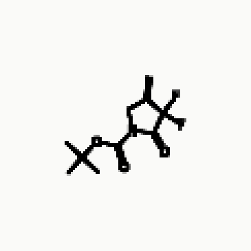 C=C1CN(C(=O)OC(C)(C)C)C(=O)C1(F)F